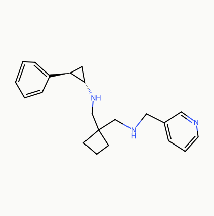 c1ccc([C@H]2C[C@@H]2NCC2(CNCc3cccnc3)CCC2)cc1